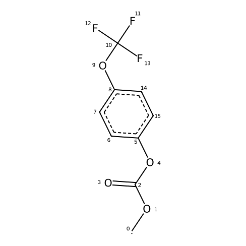 [CH2]OC(=O)Oc1ccc(OC(F)(F)F)cc1